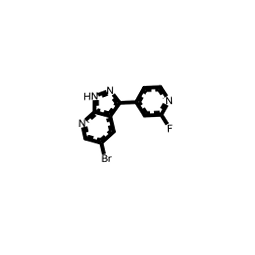 Fc1cc(-c2n[nH]c3ncc(Br)cc23)ccn1